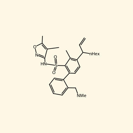 C=CC(CCCCCC)c1ccc(-c2ccccc2CNC)c(S(=O)(=O)Nc2noc(C)c2C)c1C